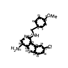 COc1ccc(CNc2ncc(N)c3sc4ccc(Cl)cc4c23)cc1